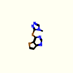 Cn1cnnc1Sc1ncnc2ccsc12